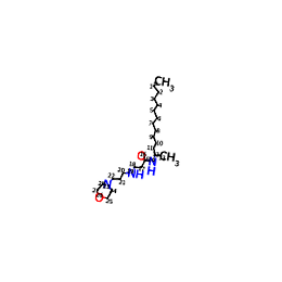 CCCCCCCCCCCCC(C)NC(=O)CCNCCCN1CCOCC1